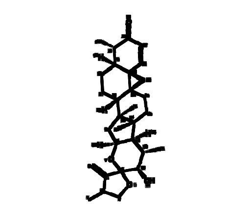 C=C1C(C)COC12O[C@H]1C[C@@]3(C)[C@@H]4CC[C@H]5[C@H](C)C(=O)C=C[C@@]56C[C@@]46CC[C@]3(C)[C@H]1[C@H](C)[C@H]2O